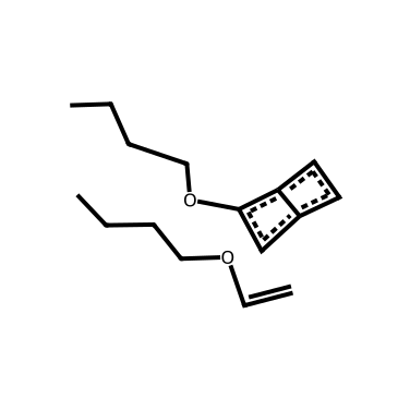 C=COCCCC.CCCCOc1cc2ccc1-2